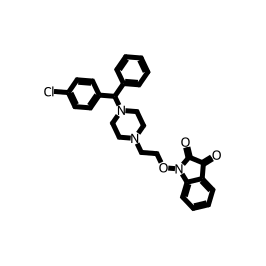 O=C1C(=O)N(OCCN2CCN(C(c3ccccc3)c3ccc(Cl)cc3)CC2)c2ccccc21